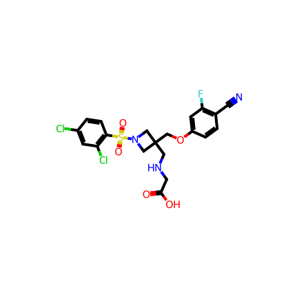 N#Cc1ccc(OCC2(CNCC(=O)O)CN(S(=O)(=O)c3ccc(Cl)cc3Cl)C2)cc1F